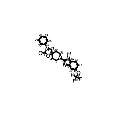 O=C1OC2(CCN(c3nc4cc(OC(F)(F)F)ccc4[nH]3)CC2)CN1c1ccccc1